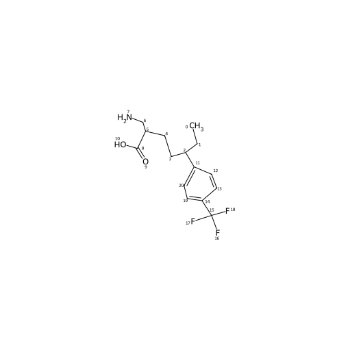 CCC(CCC(CN)C(=O)O)c1ccc(C(F)(F)F)cc1